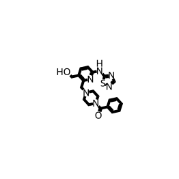 O=C(c1ccccc1)N1CCN(Cc2nc(Nc3ncns3)ccc2CO)CC1